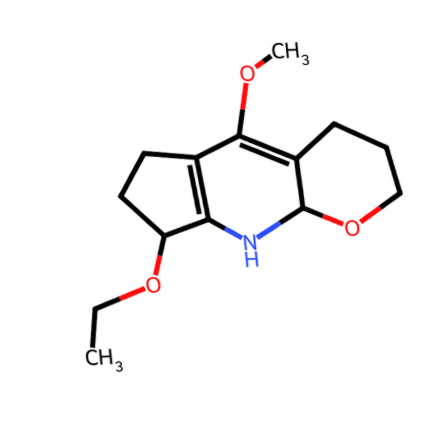 CCOC1CCC2=C1NC1OCCCC1=C2OC